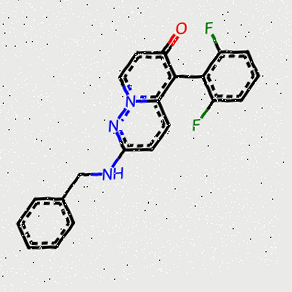 O=c1ccn2nc(NCc3ccccc3)ccc2c1-c1c(F)cccc1F